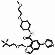 COCCOC1CCC(NC(=O)c2cc(-n3ccnc3)cc3cnn(COCC[Si](C)(C)C)c23)CC1